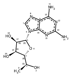 C[C@H](O)[C@H]1O[C@@H](n2cnc3c(N)nc(N)nc32)[C@H](O)[C@@H]1O